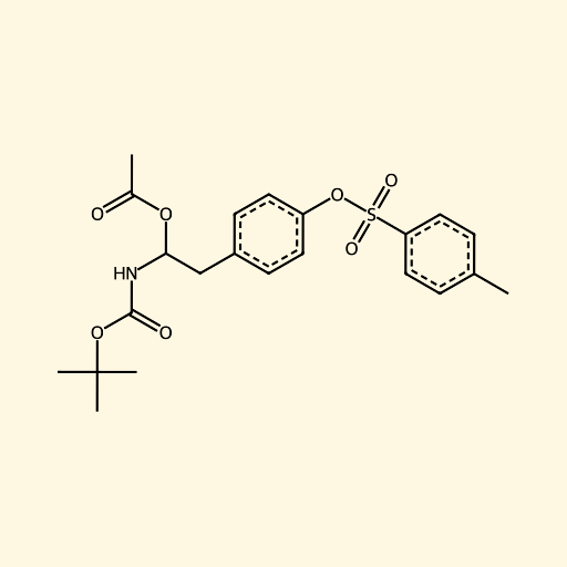 CC(=O)OC(Cc1ccc(OS(=O)(=O)c2ccc(C)cc2)cc1)NC(=O)OC(C)(C)C